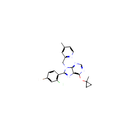 Cc1ccnc(Cn2c(-c3ccc(Br)cc3Cl)nc3c(OC4(C)CC4)ncnc32)c1